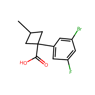 CC1CC(C(=O)O)(c2cc(F)cc(Br)c2)C1